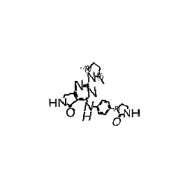 C[C@@H]1CC[C@@H](C)N1c1nc2c(c(Nc3ccc([C@H]4CCNC4=O)cc3)n1)C(=O)NC2